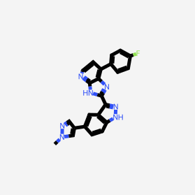 Cn1cc(-c2ccc3[nH]nc(-c4nc5c(-c6ccc(F)cc6)ccnc5[nH]4)c3c2)cn1